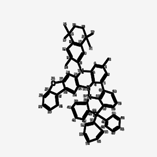 Cc1cc2c3c(c1)N(c1cc4c(cc1C)C(C)(C)CCC4(C)C)c1cc4oc5ccccc5c4cc1B3N1c3ccccc3[Si](c3ccccc3)(c3ccccc3)c3cccc-2c31